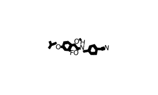 COC(C(=O)NCc1ccc(C#N)cc1)c1ccc(OCC(C)C)cc1F